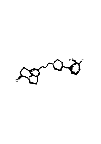 O=C1CCc2cc(CCCN3CCC(c4cccc(Cl)c4Cl)CC3)cc3c2N1CCC3